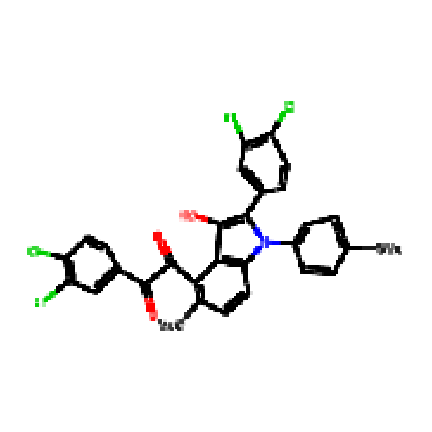 COc1ccc(-n2c(-c3ccc(Cl)c(Cl)c3)c(O)c3c(C(=O)C(=O)c4ccc(Cl)c(Cl)c4)c(OC)ccc32)cc1